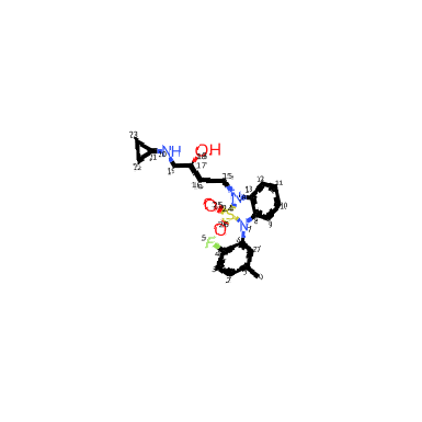 Cc1ccc(F)c(N2c3ccccc3N(CC[C@H](O)CNC3CC3)S2(=O)=O)c1